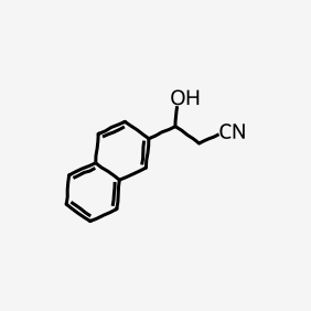 N#CCC(O)c1ccc2ccccc2c1